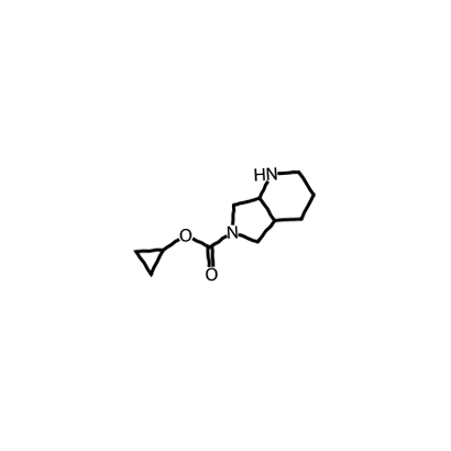 O=C(OC1CC1)N1CC2CCCNC2C1